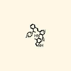 Cc1c(Nc2c(C#N)cncc2C=Cc2ccccc2C(C)N2CCN(C)CC2)ccc2[nH]ccc12